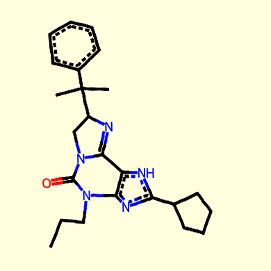 CCCN1C(=O)N2CC(C(C)(C)c3ccccc3)N=C2c2[nH]c(C3CCCC3)nc21